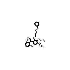 COc1ccc(C(C=O)c2c(Cl)cncc2Cl)c(OCCCOCc2ccccc2)c1OC